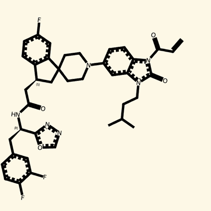 C=CC(=O)n1c(=O)n(CCC(C)C)c2cc(N3CCC4(CC3)C[C@@H](CC(=O)N[C@H](Cc3ccc(F)c(F)c3)c3nnco3)c3ccc(F)cc34)ccc21